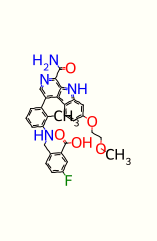 COCCOc1ccc2c(c1)[nH]c1c(C(N)=O)ncc(-c3cccc(NCc4ccc(F)cc4C(=O)O)c3C)c12